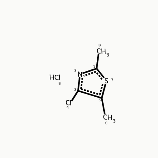 Cc1nc(Cl)c(C)s1.Cl